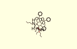 CCCCNC1=CC=C(NCCCC)C2(C)C(C)C(OC(=O)c3ccccc3)C(OC(=O)c3ccccc3)C(c3c(C)cccc3C(N)CCC)C12